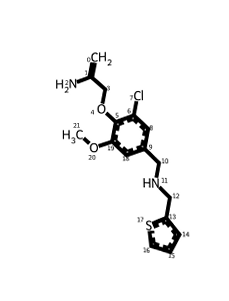 C=C(N)COc1c(Cl)cc(CNCc2cccs2)cc1OC